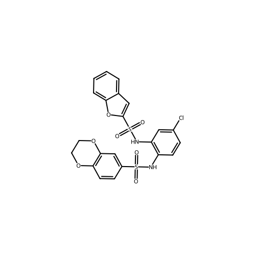 O=S(=O)(Nc1ccc(Cl)cc1NS(=O)(=O)c1cc2ccccc2o1)c1ccc2c(c1)OCCO2